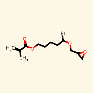 C=C(C)C(=O)OCCCCC(CC)OCC1CO1